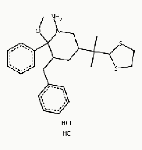 COC1(c2ccccc2)C(Cc2ccccc2)CC(C(C)(C)C2SCCS2)CN1N.Cl.Cl